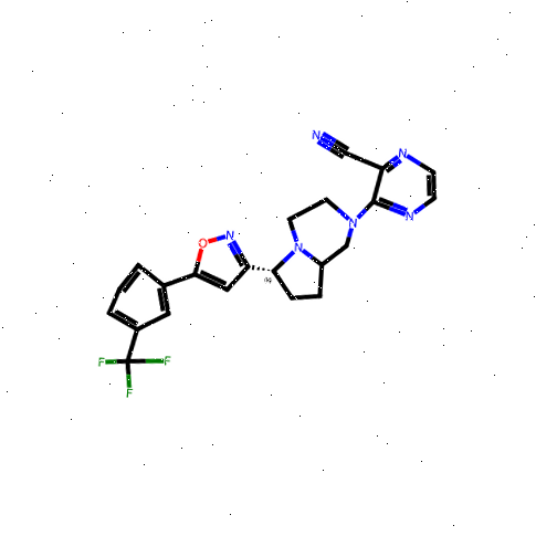 N#Cc1nccnc1N1CCN2C(CC[C@@H]2c2cc(-c3cccc(C(F)(F)F)c3)on2)C1